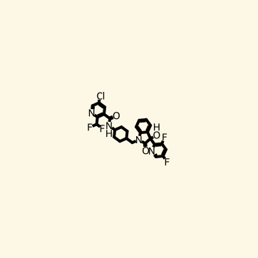 O=C(NC1CCC(CN2C(=O)C(O)(c3ncc(F)cc3F)c3ccccc32)CC1)c1cc(Cl)cnc1C(F)F